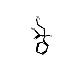 CCCC(Cl)(C(=O)O)c1ccccc1